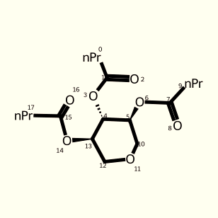 CCCC(=O)O[C@@H]1[C@@H](OC(=O)CCC)[CH]OC[C@H]1OC(=O)CCC